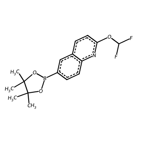 CC1(C)OB(c2ccc3nc(OC(F)F)ccc3c2)OC1(C)C